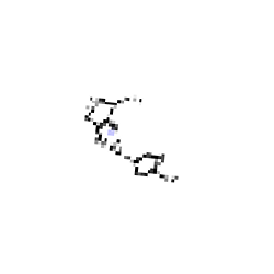 CC(C)c1ccc(N/C=C2\C(=N)CNC2O)cn1